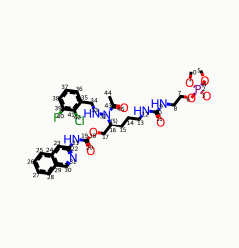 COP(=O)(OC)OCCNC(=O)NCCC[C@@H](COC(=O)Nc1cc2ccccc2cn1)N(NCc1cccc(F)c1Cl)C(C)=O